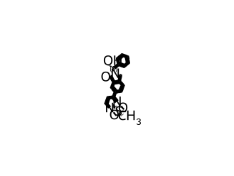 CS(=O)(=O)c1nccc(-c2ccc3c(c2)C(=O)N([C@H](CO)c2ccccc2)C3)n1